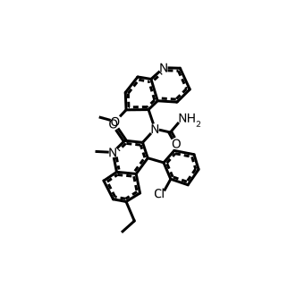 CCc1ccc2c(c1)c(-c1ccccc1Cl)c(N(C(N)=O)c1c(OC)ccc3ncccc13)c(=O)n2C